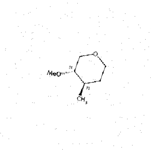 CO[C@@H]1COCC[C@H]1C